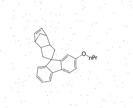 CCCOc1ccc2c(c1)C1(CC3C4C=CC(C4)C3C1)c1ccccc1-2